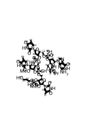 COC1C(OP(=O)(S)OC[C@H]2O[C@@H](n3cc(C)c(=O)[nH]c3=O)C(OC)C2OP(=O)(S)OCCCO)[C@@H](COP(=O)(S)OC2C[C@H](n3cc(C)c(=O)[nH]c3=O)O[C@@H]2COP(=O)(S)OC2C[C@H](n3cnc4c(=O)[nH]c(N)nc43)O[C@@H]2COP(=S)(S)OC(C)C)O[C@H]1n1cc(C)c(=O)[nH]c1=O